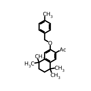 CC(=O)c1cc2c(cc1OCc1ccc(C)cc1)C(C)(C)CCC2(C)C